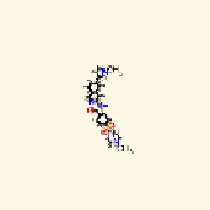 CN1CCN(S(=O)(=O)c2ccc(C(=O)Nc3cc4cc(-c5cnn(C)c5)ccc4cn3)cc2)CC1